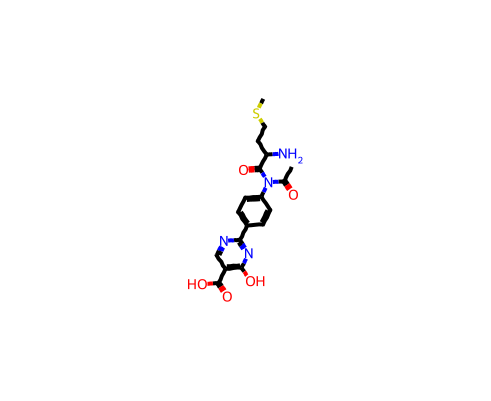 CSCCC(N)C(=O)N(C(C)=O)c1ccc(-c2ncc(C(=O)O)c(O)n2)cc1